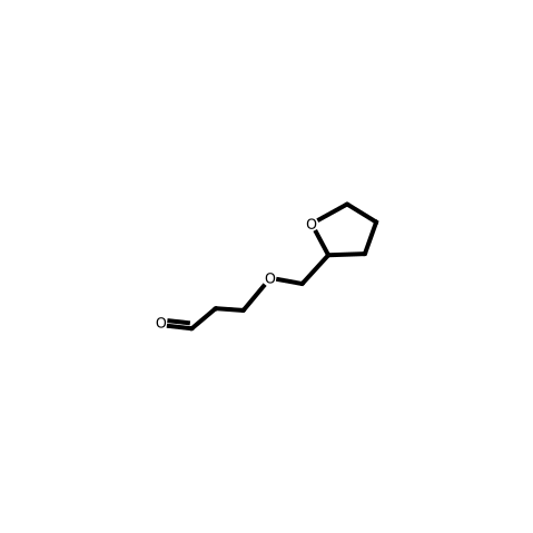 O=CCCOCC1CCCO1